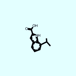 CC(C)c1cccc2cc(C(=O)O)[nH]c12